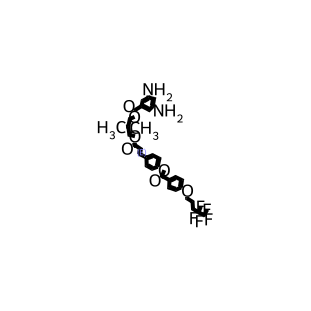 CC(C)(COC(=O)/C=C/c1ccc(OC(=O)c2ccc(OCCCC(F)(F)C(F)(F)F)cc2)cc1)COC(=O)c1cc(N)cc(N)c1